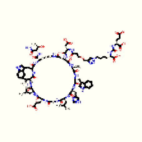 CC(C)C[C@@H]1NC(=O)[C@H](Cc2c[nH]cn2)NC(=O)[C@H](Cc2c[nH]c3ccccc23)NC(=O)[C@H](C)NC(=O)[C@@H](NC(=O)[C@H](CC(=O)O)NC(=O)CCOCc2cn(CCCC[C@H](NC(=O)N[C@@H](CCC(=O)O)C(=O)O)C(=O)O)nn2)CC(=O)NCCC[C@@H](C(=O)N[C@H](C(N)=O)[C@@H](C)O)NC(=O)[C@@H]2Cc3c[nH]c4ccc(cc34)C(C)[C@H](NC(=O)[C@H](CC(C)C)NC(=O)[C@H](CCC(=O)O)NC(=O)CNC1=O)C(=O)N2